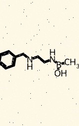 CB(O)NCCNCc1ccccc1